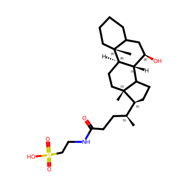 C[C@@H](CCC(=O)NCCS(=O)(=O)O)[C@@H]1CCC2[C@H]3[C@H](O)CC4CCCC[C@@]4(C)[C@@H]3CC[C@]21C